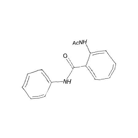 CC(=O)Nc1ccccc1C(=O)Nc1ccccc1